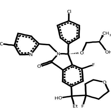 CCC(O)(c1cc(F)c2c(c1)C(=O)N(Cc1ccc(C#N)cn1)[C@@]2(OC[C@@H](C)O)c1ccc(Cl)cc1)C1(F)CCOCC1